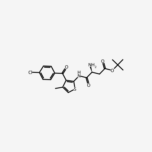 Cc1csc(NC(=O)[C@@H](N)CC(=O)OC(C)(C)C)c1C(=O)c1ccc(Cl)cc1